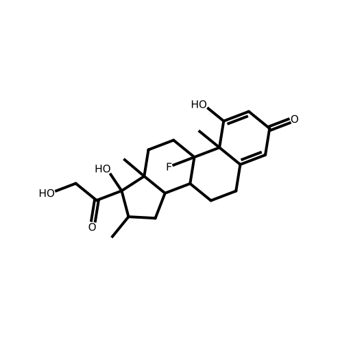 CC1CC2C3CCC4=CC(=O)C=C(O)C4(C)C3(F)CCC2(C)C1(O)C(=O)CO